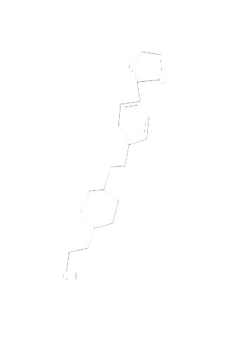 CCCC1CCC(CCc2ccc(C3OCCO3)cc2)CC1